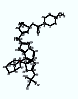 CN1CCN(C(=O)CN2C=C(Nc3nc4c(N5CC6CCC(C5)N6Cc5cnc(CC(F)(F)F)s5)cccn4n3)CN2)CC1